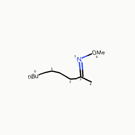 CCCCCCC(C)=NOC